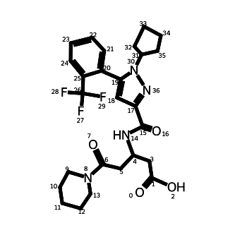 O=C(O)CC(CC(=O)N1CCCCC1)NC(=O)c1cc(-c2ccccc2C(F)(F)F)n(C2CCCC2)n1